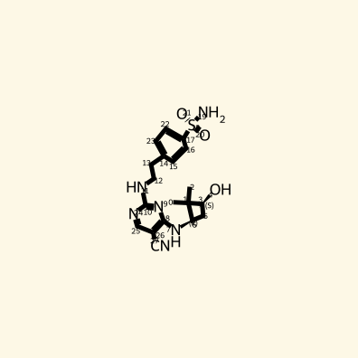 CC1(C)[C@@H](O)C[C@H]1Nc1nc(NCCc2ccc(S(N)(=O)=O)cc2)ncc1C#N